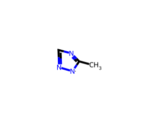 CC1=NC=N[N]1